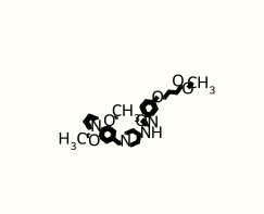 CCOc1cc(CN2CCC(Nc3nc4cc(OCCCC(=O)OC)ccc4o3)CC2)cc(OCC)c1-n1cccc1